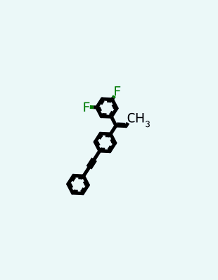 CC=C(c1ccc(C#Cc2ccccc2)cc1)c1cc(F)cc(F)c1